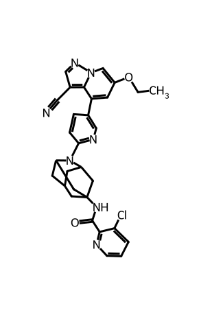 CCOc1cc(-c2ccc(N3C4CC5CC3CC(NC(=O)c3ncccc3Cl)(C5)C4)nc2)c2c(C#N)cnn2c1